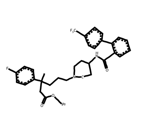 CC(C)OC(=O)CC(C)(CCCN1CCC(NC(=O)c2ccccc2-c2ccc(C(F)(F)F)cc2)CC1)c1ccc(F)cc1